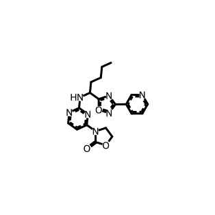 CCCCC(Nc1nccc(N2CCOC2=O)n1)c1nc(-c2cccnc2)no1